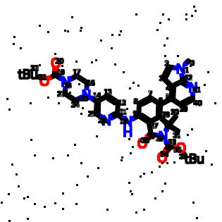 Cn1ccc2c(-c3ccc(Nc4ccc(N5CCN(C(=O)OC(C)(C)C)CC5)cn4)c4c3C(C)(C)N(C(=O)OC(C)(C)C)C4=O)ccnc21